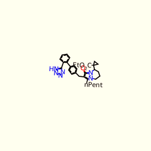 CCCCCc1c(Cc2ccc(-c3ccccc3-c3nnn[nH]3)cc2)c(=O)n2n1CCCC2C1(C(=O)OCC)CC1